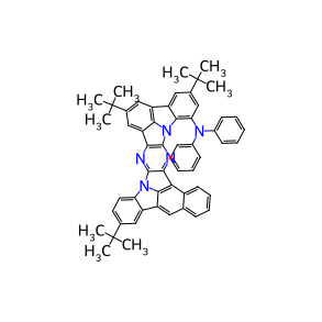 CC(C)(C)c1ccc2c(c1)c1cc3ccccc3c3c4nc5c(nc4n2c13)c1cc(C(C)(C)C)cc2c3cc(C(C)(C)C)cc(N(c4ccccc4)c4ccccc4)c3n5c21